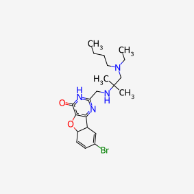 CCCCN(CC)CC(C)(C)NCc1nc2c(c(=O)[nH]1)OC1C=CC(Br)=CC21